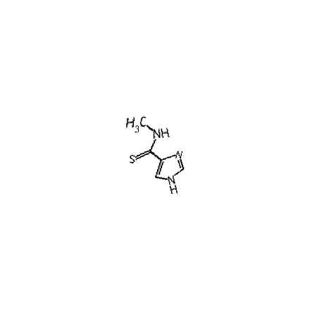 CNC(=S)c1c[nH]cn1